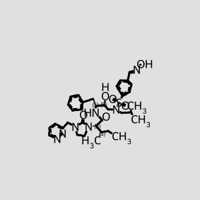 CC[C@H](C)[C@@H](C(=O)N[C@@H](Cc1ccccc1)[C@@H](O)CN(CC(C)C)S(=O)(=O)c1ccc(C=NO)cc1)N1CCN(Cc2cccnn2)C1=O